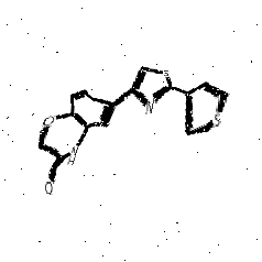 O=C1COc2ccc(-c3csc(-c4ccsc4)n3)cc2N1